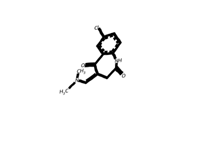 CN(C)C=C1CC(=O)Nc2ccc(Cl)cc2C1=O